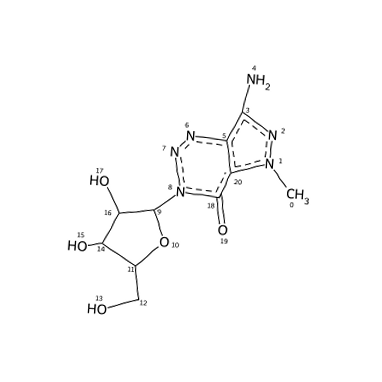 Cn1nc(N)c2nnn(C3OC(CO)C(O)C3O)c(=O)c21